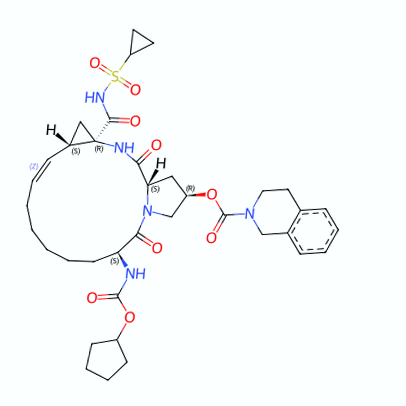 O=C(N[C@H]1CCCCC/C=C\[C@@H]2C[C@@]2(C(=O)NS(=O)(=O)C2CC2)NC(=O)[C@@H]2C[C@@H](OC(=O)N3CCc4ccccc4C3)CN2C1=O)OC1CCCC1